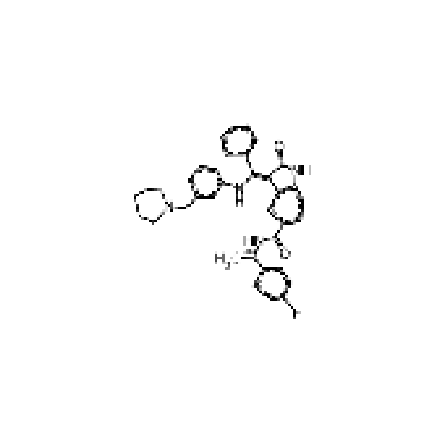 C[C@@H](NC(=O)c1ccc2c(c1)C(=C(Nc1cccc(CN3CCCCC3)c1)c1ccccc1)C(=O)N2)c1ccc(F)cc1